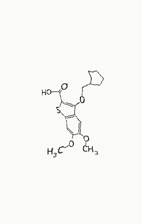 COc1cc2sc(C(=O)O)c(OCC3CCCC3)c2cc1OC